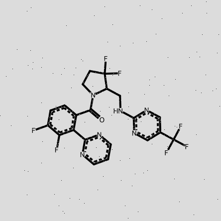 O=C(c1ccc(F)c(F)c1-c1ncccn1)N1CCC(F)(F)C1CNc1ncc(C(F)(F)F)cn1